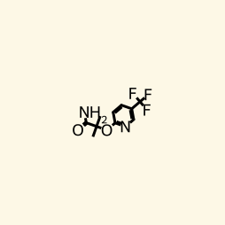 CC(C)(Oc1ccc(C(F)(F)F)cn1)C(N)=O